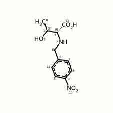 C[C@H](O)[C@@H](NCc1ccc([N+](=O)[O-])cc1)C(=O)O